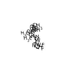 CC1CC(C)(O)C(CNS(C)(=O)=O)CN1c1cc(-c2cnc3ccc(C(F)F)nn23)ncn1